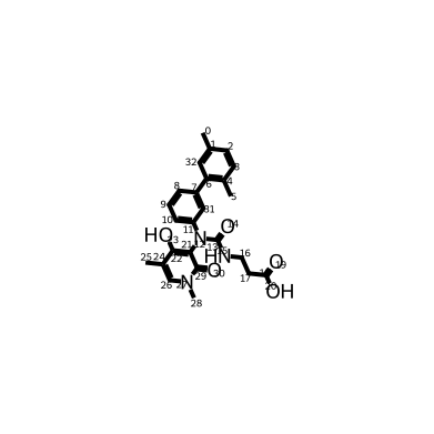 Cc1ccc(C)c(-c2cccc(N(C(=O)NCCC(=O)O)c3c(O)c(C)cn(C)c3=O)c2)c1